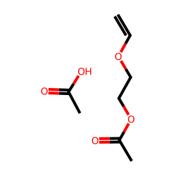 C=COCCOC(C)=O.CC(=O)O